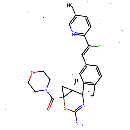 N#Cc1ccc(/C(F)=C/c2ccc3c(c2)[C@@]2(C3)N=C(N)S[C@@]3(C(=O)N4CCOCC4)C[C@H]32)nc1